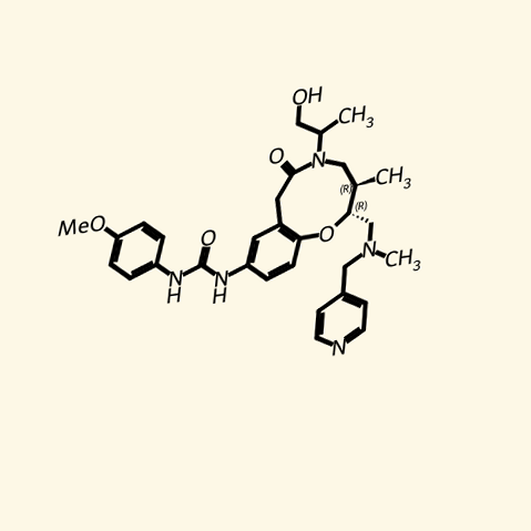 COc1ccc(NC(=O)Nc2ccc3c(c2)CC(=O)N(C(C)CO)C[C@@H](C)[C@H](CN(C)Cc2ccncc2)O3)cc1